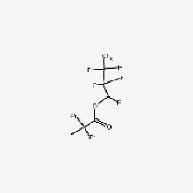 CC(C)C(C)(C(=O)OC(F)C(F)(F)C(F)(F)C(F)(F)F)C(C)C